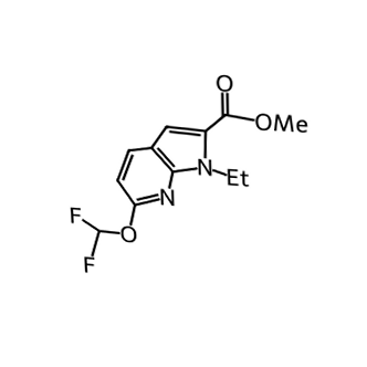 CCn1c(C(=O)OC)cc2ccc(OC(F)F)nc21